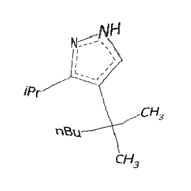 CCCCC(C)(C)c1c[nH]nc1C(C)C